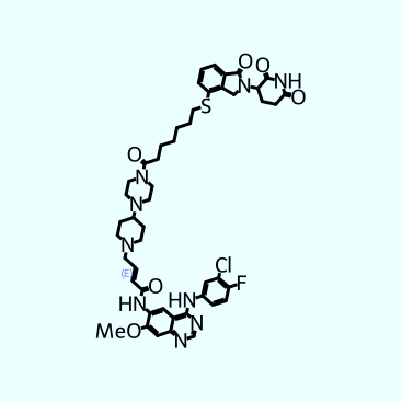 COc1cc2ncnc(Nc3ccc(F)c(Cl)c3)c2cc1NC(=O)/C=C/CN1CCC(N2CCN(C(=O)CCCCCCSc3cccc4c3CN(C3CCC(=O)NC3=O)C4=O)CC2)CC1